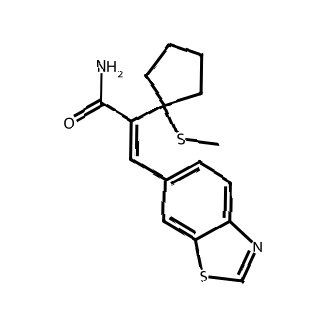 CSC1(/C(=C\c2ccc3ncsc3c2)C(N)=O)CCCC1